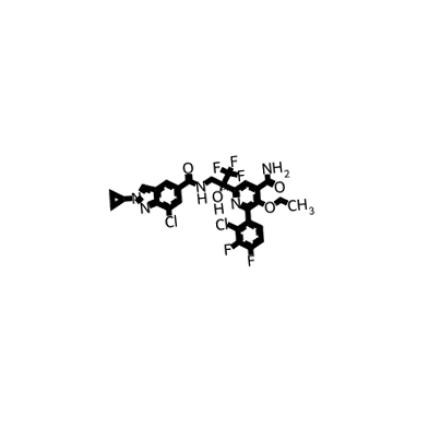 CCOc1c(C(N)=O)cc([C@@](O)(CNC(=O)c2cc(Cl)c3nn(C4CC4)cc3c2)C(F)(F)F)nc1-c1ccc(F)c(F)c1Cl